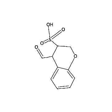 O=CC1c2ccccc2OCC1S(=O)(=O)O